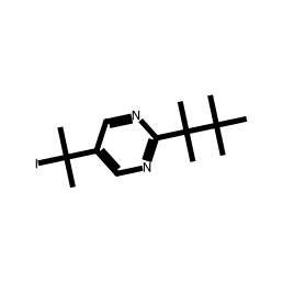 CC(C)(I)c1cnc(C(C)(C)C(C)(C)C)nc1